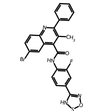 Cc1c(-c2ccccc2)nc2ccc(Br)cc2c1C(=O)Nc1ccc(C2=NOSN2)cc1F